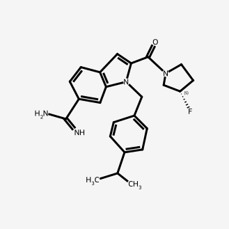 CC(C)c1ccc(Cn2c(C(=O)N3CC[C@H](F)C3)cc3ccc(C(=N)N)cc32)cc1